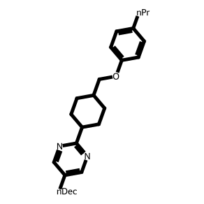 CCCCCCCCCCc1cnc(C2CCC(COc3ccc(CCC)cc3)CC2)nc1